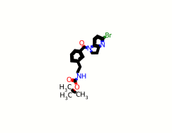 CC(C)(C)OC(=O)NCCc1cccc(C(=O)N2CCc3nc(Br)ccc32)c1